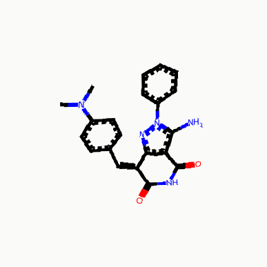 CN(C)c1ccc(/C=C2/C(=O)NC(=O)c3c2nn(-c2ccccc2)c3N)cc1